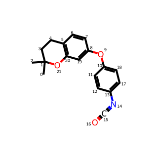 CC1(C)CCc2ccc(Oc3ccc(N=C=O)cc3)cc2O1